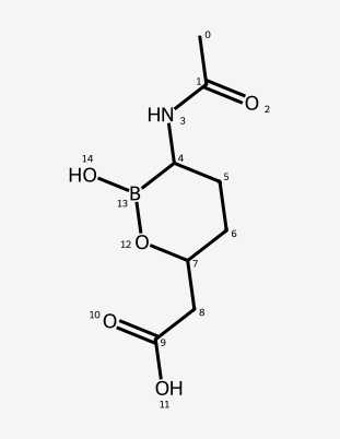 CC(=O)NC1CCC(CC(=O)O)OB1O